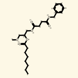 CCCCCCCC(=O)OC(COC)COC(=O)CCC(=O)OCc1ccccc1